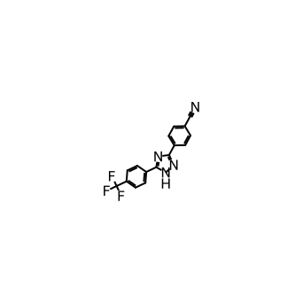 N#Cc1ccc(-c2n[nH]c(-c3ccc(C(F)(F)F)cc3)n2)cc1